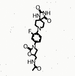 CC(=O)NCC1CN(c2ccc(N3CCC4(CC3)NC(=O)NC4=O)c(F)c2)C(=O)O1